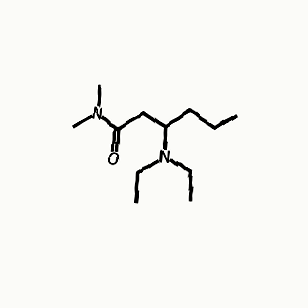 CCCC(CC(=O)N(C)C)N(CC)CC